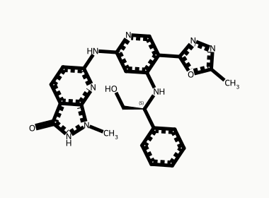 Cc1nnc(-c2cnc(Nc3ccc4c(=O)[nH]n(C)c4n3)cc2N[C@H](CO)c2ccccc2)o1